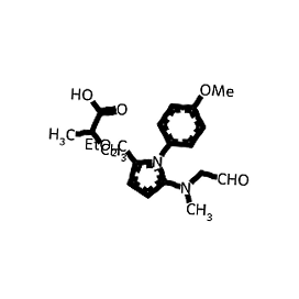 CC(C)C(=O)O.CCOC(=O)c1ccc(N(C)CC=O)n1-c1ccc(OC)cc1